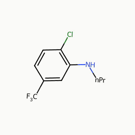 CCCNc1cc(C(F)(F)F)ccc1Cl